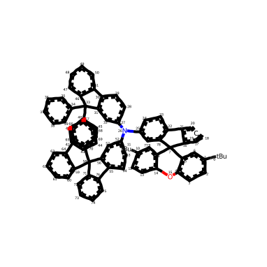 CC(C)(C)c1ccc2c(c1)C1(c3cc(C(C)(C)C)ccc3O2)c2ccccc2-c2ccc(N(c3ccc4c(c3)C(c3ccccc3)(c3ccccc3)c3ccccc3-4)c3ccc4c(c3)C3(c5ccccc5-c5ccccc53)c3ccccc3-4)cc21